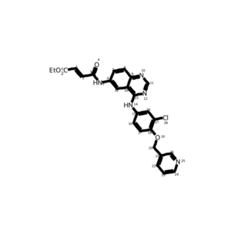 CCOC(=O)C=CC(=O)Nc1ccc2ncnc(Nc3ccc(OCc4cccnc4)c(Cl)c3)c2c1